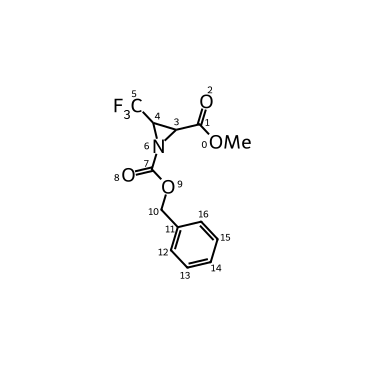 COC(=O)C1C(C(F)(F)F)N1C(=O)OCc1ccccc1